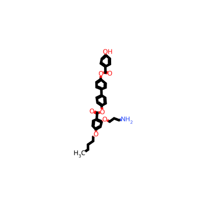 CCCCCOc1ccc(C(=O)Oc2ccc(-c3ccc(OC(=O)c4ccc(O)cc4)cc3)cc2)c(OCCCN)c1